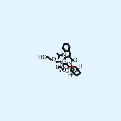 CC(C)n1c(=O)c(C(=O)N[C@H]2C[C@H]3CC[C@@H](C2)N3CC(O)CN(CCOCCO)S(C)(=O)=O)cc2ccccc21